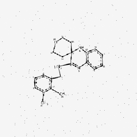 Cc1cccc(CNC2=Nc3ccccc3NC23CCOCC3)c1C